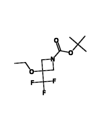 CCOC1(C(F)(F)F)CN(C(=O)OC(C)(C)C)C1